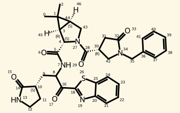 CC1(C)[C@@H]2[C@@H](C(=O)NC(C[C@@H]3CCNC3=O)C(=O)c3nc4ccccc4s3)N(C(=O)[C@@H]3CC(=O)N(Cc4ccccc4)C3)C[C@@H]21